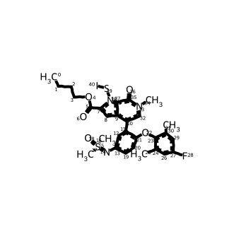 CCCCOC(=O)c1cc2c(-c3cc(N=S(C)(C)=O)ccc3Oc3c(C)cc(F)cc3C)cn(C)c(=O)c2n1SI